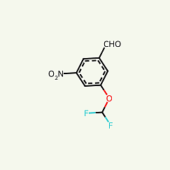 O=Cc1cc(OC(F)F)cc([N+](=O)[O-])c1